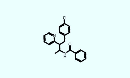 CC(NC(=O)c1ccccc1)C(Cc1ccc(Cl)cc1)c1ccccn1